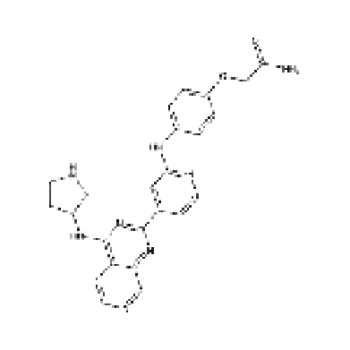 NC(=O)COc1ccc(Nc2cc(-c3nc(NC4CCNC4)c4ccncc4n3)ccn2)cc1